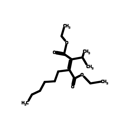 CCCCCCC(C(=O)OCC)=C(C(=O)OCC)C(C)C